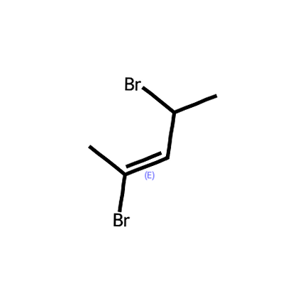 C/C(Br)=C\C(C)Br